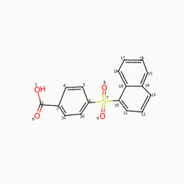 O=C(O)c1ccc(S(=O)(=O)c2cccc3ccccc23)cc1